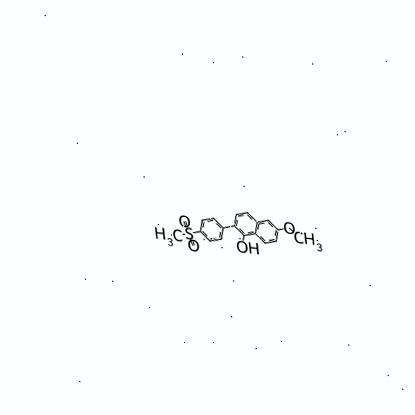 COc1ccc2c(O)c(-c3ccc(S(C)(=O)=O)cc3)ccc2c1